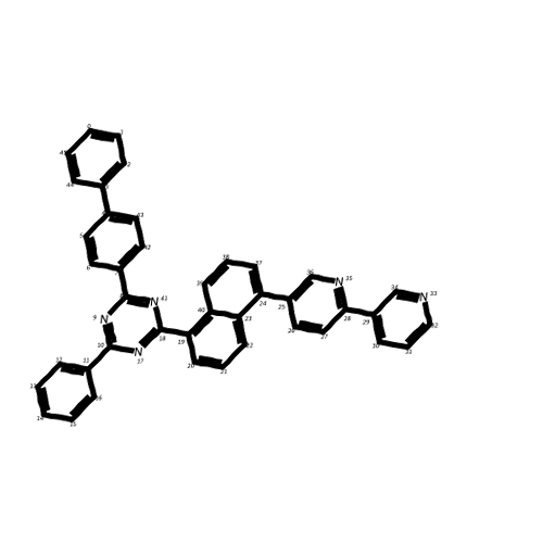 c1ccc(-c2ccc(-c3nc(-c4ccccc4)nc(-c4cccc5c(-c6ccc(-c7cccnc7)nc6)cccc45)n3)cc2)cc1